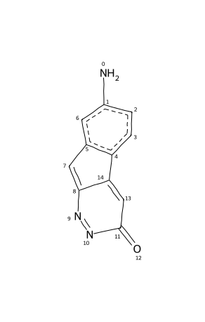 Nc1ccc2c(c1)C=C1N=NC(=O)C=C12